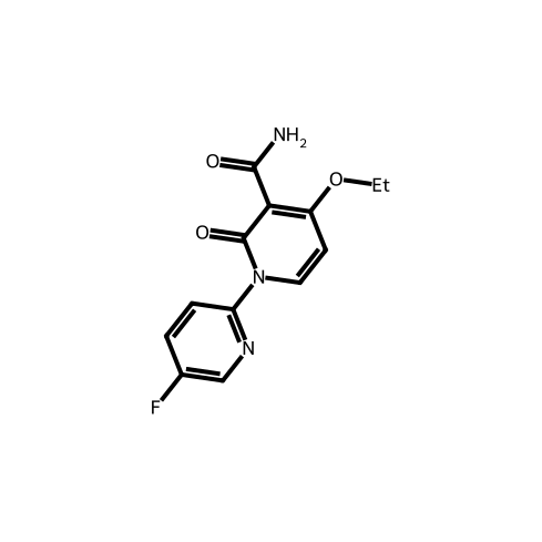 CCOc1ccn(-c2ccc(F)cn2)c(=O)c1C(N)=O